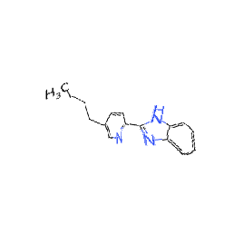 CCCCc1ccc(-c2nc3ccccc3[nH]2)nc1